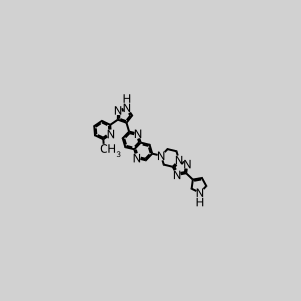 Cc1cccc(-c2n[nH]cc2-c2ccc3ncc(N4CCn5nc(C6=CCNC6)nc5C4)cc3n2)n1